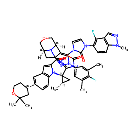 Cc1cc(-n2nc3c(c2-n2ccn(-c4ccc5c(cnn5C)c4F)c2=O)[C@@H]2COC[C@H](C3)N2C(=O)c2cc3cc([C@H]4CCOC(C)(C)C4)ccc3n2[C@@]2(c3noc(=O)[nH]3)C[C@@H]2C)cc(C)c1F